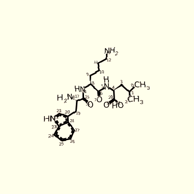 CC(C)C[C@H](NC(=O)[C@H](CCCCN)NC(=O)[C@@H](N)Cc1c[nH]c2ccccc12)C(=O)O